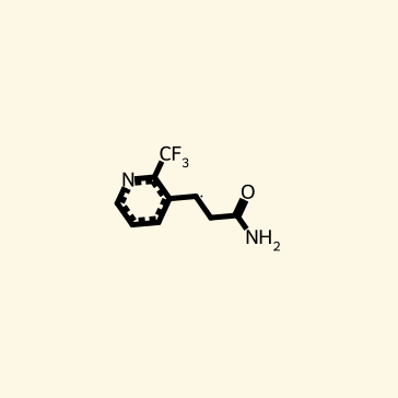 NC(=O)C[CH]c1cccnc1C(F)(F)F